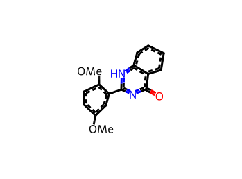 COc1ccc(OC)c(-c2nc(=O)c3ccccc3[nH]2)c1